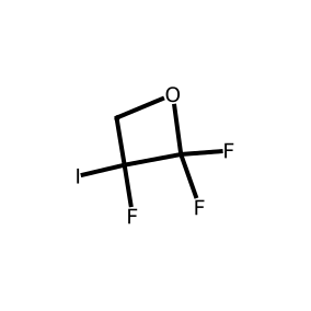 FC1(I)COC1(F)F